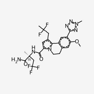 COc1cc2c(cc1-c1nnn(C)n1)-c1c(CC(C)(F)F)cc(C(=O)N[C@@](C)(CC(F)(F)F)C(N)=O)n1CC2